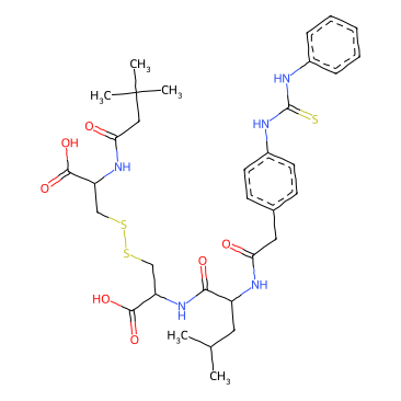 CC(C)CC(NC(=O)Cc1ccc(NC(=S)Nc2ccccc2)cc1)C(=O)NC(CSSCC(NC(=O)CC(C)(C)C)C(=O)O)C(=O)O